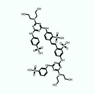 O=S(=O)(O)c1ccc(Nc2nc(Nc3ccc(C=Cc4ccc(Nc5nc(Nc6cccc(S(=O)(=O)O)c6)nc(N(CCO)CCO)n5)cc4S(=O)(=O)O)c(S(=O)(=O)O)c3)nc(N(CCO)CCO)n2)cc1